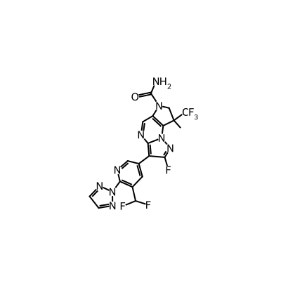 CC1(C(F)(F)F)CN(C(N)=O)c2cnc3c(-c4cnc(-n5nccn5)c(C(F)F)c4)c(F)nn3c21